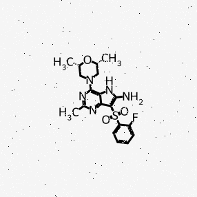 Cc1nc(N2C[C@@H](C)O[C@@H](C)C2)c2[nH]c(N)c(S(=O)(=O)c3ccccc3F)c2n1